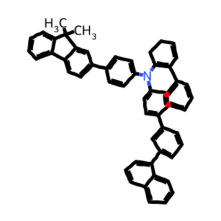 CC1(C)c2ccccc2-c2ccc(-c3ccc(N(C4=C(c5ccccc5)C=CCC4)c4ccc(-c5cccc(-c6cccc7ccccc67)c5)cc4)cc3)cc21